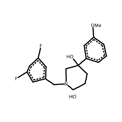 COc1cccc(C2(O)CCCN(Cc3cc(F)cc(F)c3)C2)c1.Cl